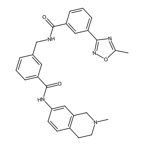 Cc1nc(-c2cccc(C(=O)NCc3cccc(C(=O)Nc4ccc5c(c4)CN(C)CC5)c3)c2)no1